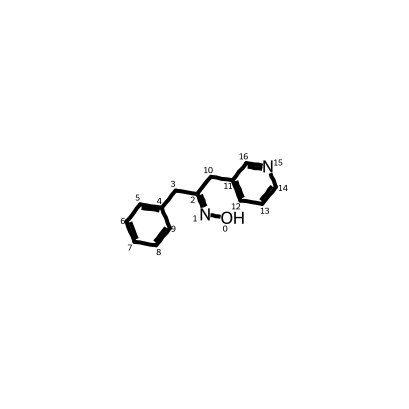 ON=C(Cc1ccccc1)Cc1cccnc1